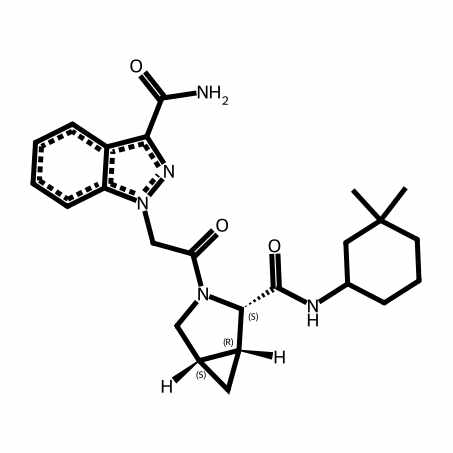 CC1(C)CCCC(NC(=O)[C@@H]2[C@@H]3C[C@@H]3CN2C(=O)Cn2nc(C(N)=O)c3ccccc32)C1